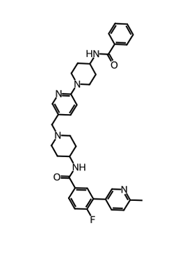 Cc1ccc(-c2cc(C(=O)NC3CCN(Cc4ccc(N5CCC(NC(=O)c6ccccc6)CC5)nc4)CC3)ccc2F)cn1